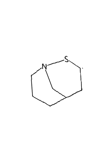 [CH]1CC2CCCN(C2)S1